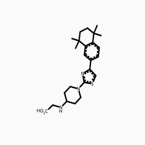 CC1(C)CCC(C)(C)c2cc(-c3csc(N4CCC(NCC(=O)O)CC4)n3)ccc21